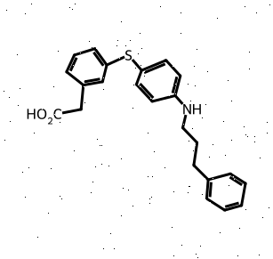 O=C(O)Cc1cccc(Sc2ccc(NCCCc3ccccc3)cc2)c1